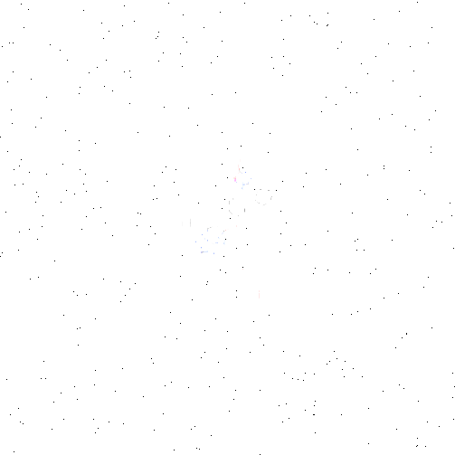 CCCc1c(Cc2ccc(-c3ccccc3-c3noc(=O)[nH]3)cc2)c(=O)n([C@H]2CC[C@](C)(OCC(C)(C)O)CC2)c2ncnn12